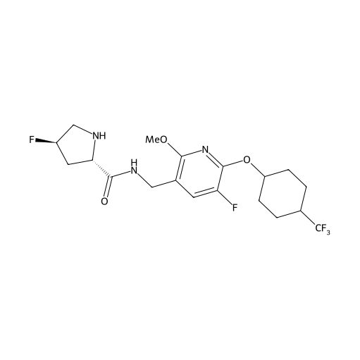 COc1nc(OC2CCC(C(F)(F)F)CC2)c(F)cc1CNC(=O)[C@@H]1C[C@@H](F)CN1